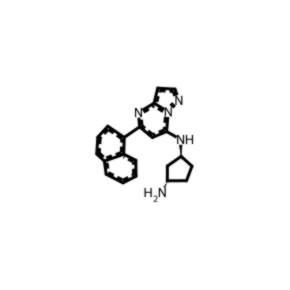 N[C@H]1CC[C@H](Nc2cc(-c3cccc4ccccc34)nc3ccnn23)C1